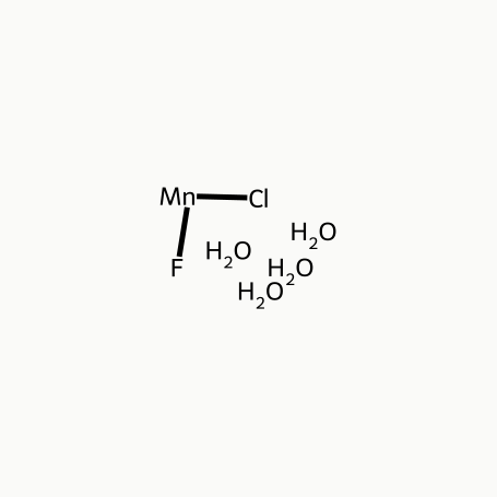 O.O.O.O.[F][Mn][Cl]